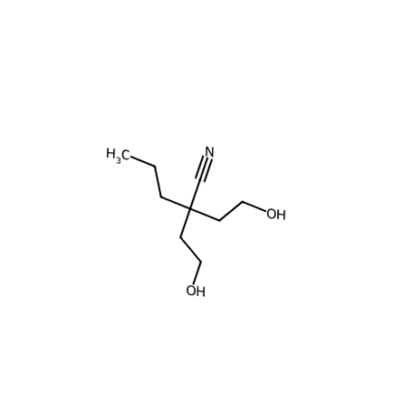 CCCC(C#N)(CCO)CCO